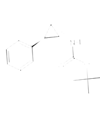 CC(C)(C)OC(=O)N[C@H]1C[C@@H]1c1ccccc1